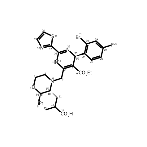 CCOC(=O)C1=C(CN2CCO[C@H](C(C)C)[C@H]2CC(C)C(=O)O)NC(c2nccs2)=N[C@H]1c1ccc(F)cc1Br